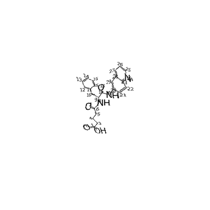 O=C(O)CCCC(=O)N[C@@H](Cc1ccccc1)C(=O)Nc1ccc2ncccc2c1